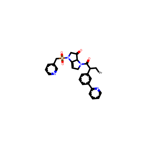 CC(C)CC(C(=O)N1CC=C2C1C(=O)CN2S(=O)(=O)Cc1cccnc1)c1cccc(-c2ccccn2)c1